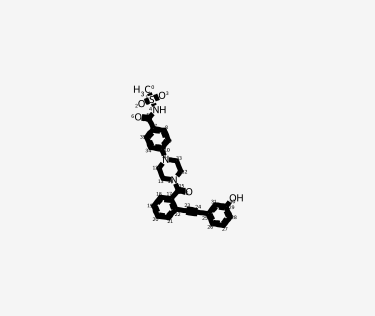 CS(=O)(=O)NC(=O)c1ccc(N2CCN(C(=O)c3ccccc3C#Cc3cccc(O)c3)CC2)cc1